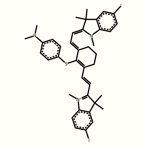 CN(C)c1ccc(SC2=C(/C=C/C3=[N+](C)c4ccc(I)cc4C3(C)C)CCC/C2=C\C=C2/N(C)c3ccc(I)cc3C2(C)C)cc1